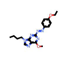 CCCCn1cnc2c(OC)nc(/N=N/c3ccc(OCC)cc3)nc21